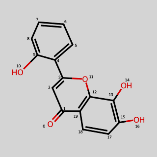 O=c1cc(-c2ccccc2O)oc2c(O)c(O)ccc12